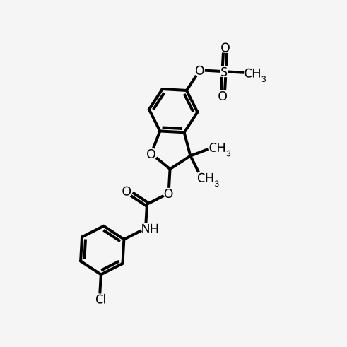 CC1(C)c2cc(OS(C)(=O)=O)ccc2OC1OC(=O)Nc1cccc(Cl)c1